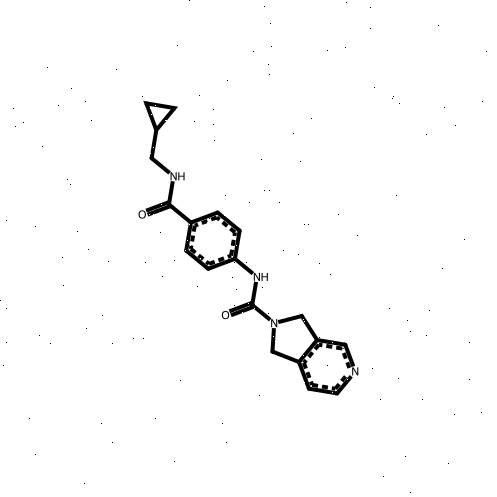 O=C(NCC1CC1)c1ccc(NC(=O)N2Cc3ccncc3C2)cc1